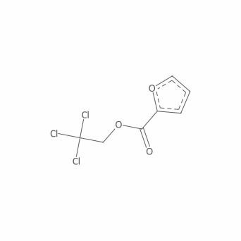 O=C(OCC(Cl)(Cl)Cl)c1ccco1